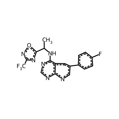 CC(Nc1ncnc2ncc(-c3ccc(F)cc3)cc12)c1nc(C(F)(F)F)no1